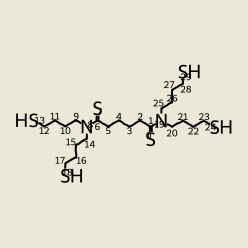 S=C(CCCCC(=S)N(CCCCS)CCCCS)N(CCCCS)CCCCS